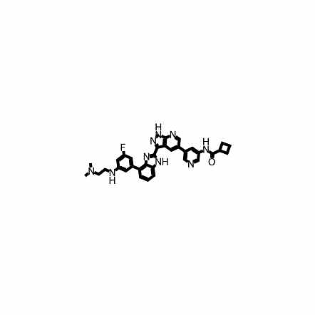 CN(C)CCNc1cc(F)cc(-c2cccc3[nH]c(-c4n[nH]c5ncc(-c6cncc(NC(=O)C7CCC7)c6)cc45)nc23)c1